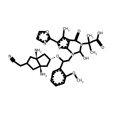 COc1ccccc1C(CN1c2sc(-c3ncco3)c(C)c2C(=O)N(C(C)(C)C(=O)O)C1O)O[C@@H]1C[C@]2(N)CC(CC#N)C[C@]2(N)C1